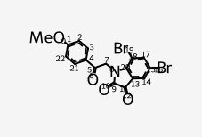 COc1ccc(C(=O)CN2C(=O)C(=O)c3cc(Br)cc(Br)c32)cc1